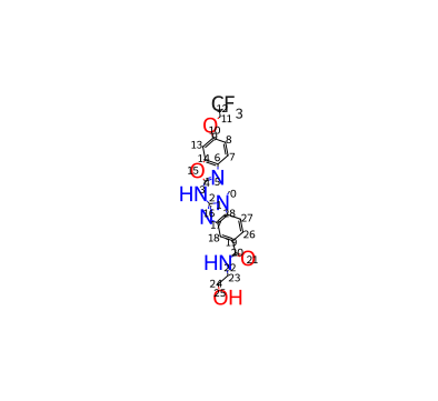 Cn1c(Nc2nc3ccc(OCC(F)(F)F)cc3o2)nc2cc(C(=O)NCCO)ccc21